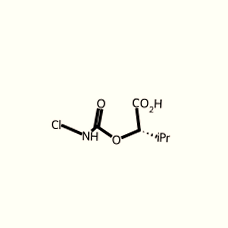 CC(C)[C@H](OC(=O)NCl)C(=O)O